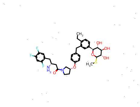 CCc1ccc([C@@H]2O[C@H](SC)[C@@H](O)[C@H](O)[C@H]2O)cc1Cc1ccc(O[C@@H]2CCN(C(=O)C[C@H](N)Cc3cc(F)c(F)cc3F)C2)cc1